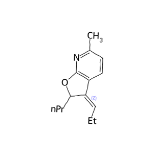 CC/C=C1/c2ccc(C)nc2OC1CCC